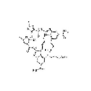 CCn1nc(C)cc1C(=O)Nc1nc2cc(C(N)=O)cc(CCC(=O)O)c2n1C/C=C/Cn1c(NC(=O)c2cc(C)nn2CC)nc2cc(C(N)=O)cc(OCCCOC)c21